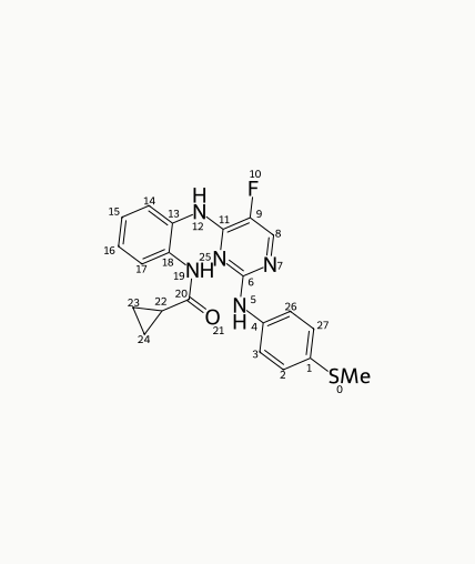 CSc1ccc(Nc2ncc(F)c(Nc3ccccc3NC(=O)C3CC3)n2)cc1